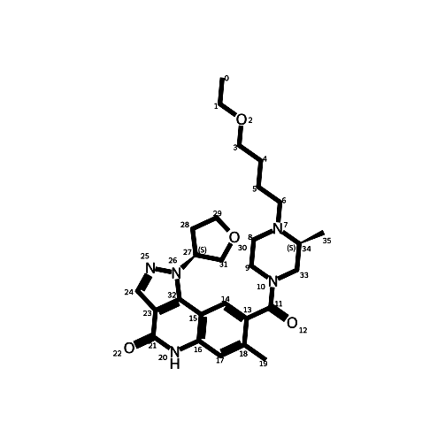 CCOCCCCN1CCN(C(=O)c2cc3c(cc2C)[nH]c(=O)c2cnn([C@H]4CCOC4)c23)C[C@@H]1C